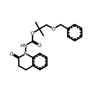 CC(C)(COCc1ccccc1)OC(=O)NN1C(=O)CCc2ccccc21